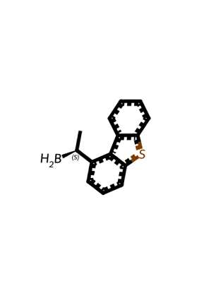 B[C@@H](C)c1cccc2sc3ccccc3c12